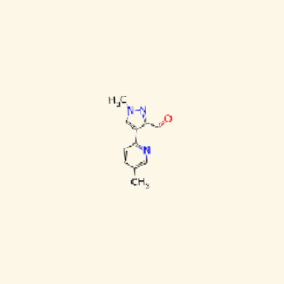 Cc1ccc(-c2cn(C)nc2C=O)nc1